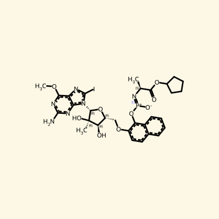 COc1nc(N)nc2c1nc(I)n2[C@@H]1O[C@H](COc2ccc3ccccc3c2O/[P+]([O-])=N/[C@@H](C)C(=O)OC2CCCC2)[C@@H](O)[C@@]1(C)O